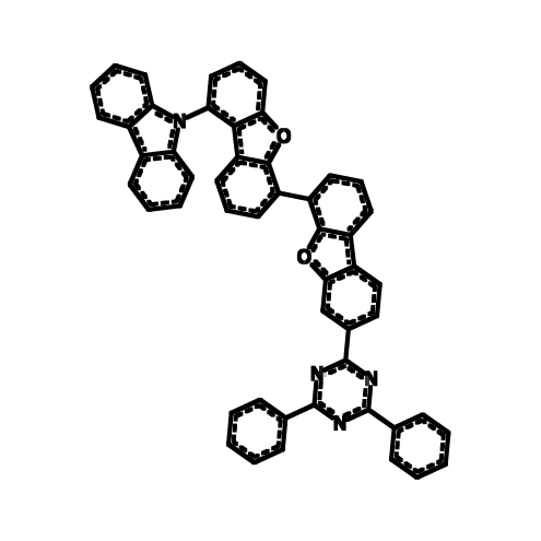 c1ccc(-c2nc(-c3ccccc3)nc(-c3ccc4c(c3)oc3c(-c5cccc6c5oc5cccc(-n7c8ccccc8c8ccccc87)c56)cccc34)n2)cc1